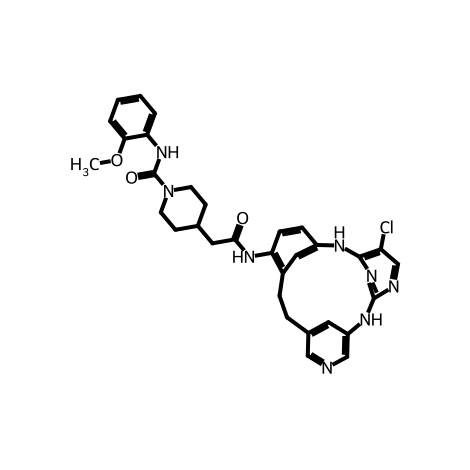 COc1ccccc1NC(=O)N1CCC(CC(=O)Nc2ccc3cc2CCc2cncc(c2)Nc2ncc(Cl)c(n2)N3)CC1